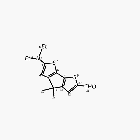 CCN(CC)c1cc2c(s1)-c1sc(C=O)cc1C2(C)C